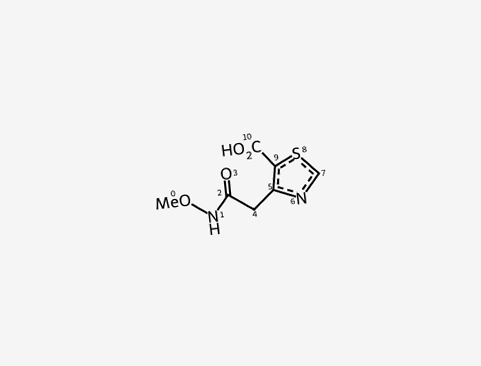 CONC(=O)Cc1ncsc1C(=O)O